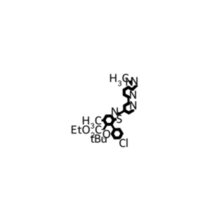 CCOC(=O)[C@@H](OC(C)(C)C)c1c(C)cc2nc(-c3ccnc(-c4ccc5c(cnn5C)n4)c3)sc2c1-c1ccc(Cl)cc1